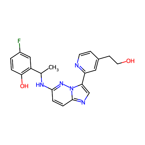 CC(Nc1ccc2ncc(-c3cc(CCO)ccn3)n2n1)c1cc(F)ccc1O